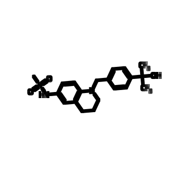 CS(=O)(=O)Nc1ccc2c(c1)CCCN2Cc1ccc(C(O)(C(F)(F)F)C(F)(F)F)cc1